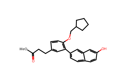 COC(=O)CCc1ccc(OCC2CCCC2)c(-c2ccc3ccc(O)cc3c2)c1